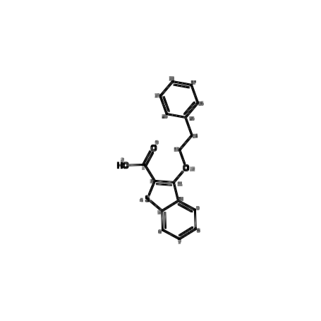 O=C(O)c1sc2ccccc2c1OCCc1ccccc1